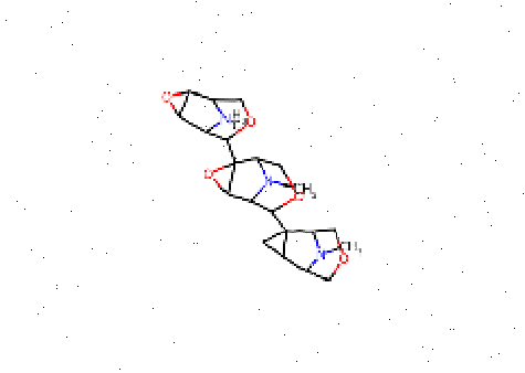 CN1C2COC(C34OC3C3C(C56CC5C5COCC6N5C)OCC4N3C)C1C1OC12